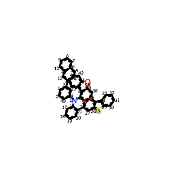 c1cc(-c2ccc3ccccc3c2)cc(N(c2ccccc2-c2ccc3c(c2)sc2ccccc23)c2cccc3oc4ccccc4c23)c1